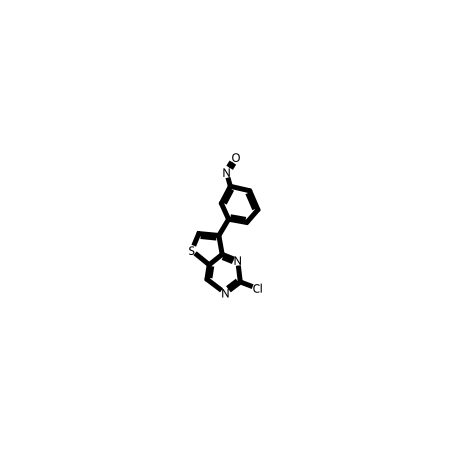 O=Nc1cccc(-c2csc3cnc(Cl)nc23)c1